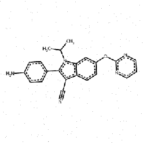 CC(C)n1c(-c2ccc(N)cc2)c(C#N)c2ccc(Oc3ncccn3)cc21